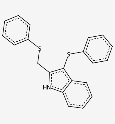 c1ccc(SCc2[nH]c3ccccc3c2Sc2ccccc2)cc1